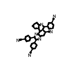 N#Cc1ccc(-c2nc3cc(C#N)c4c(-c5cccc(C#N)c5)nc5ccccc5c4c3nc2-c2ccc(C#N)cc2)cc1